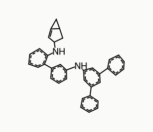 C1=C2CC2CC1Nc1ccccc1-c1cccc(Nc2cc(-c3ccccc3)cc(-c3ccccc3)c2)c1